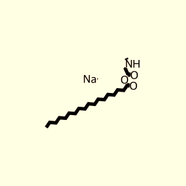 CCCCCCCCCCCCCCCCCC(=O)OC(=O)CNC.[Na]